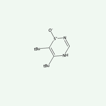 CC(C)(C)C1=C(C(C)(C)C)[S+]([O-])N=CN1